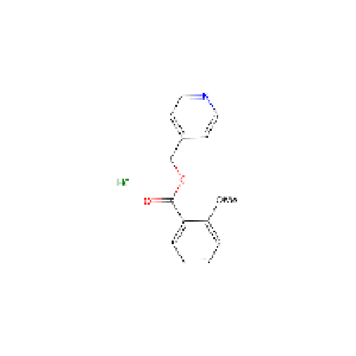 COc1ccccc1C(=O)OCc1ccncc1.Cl